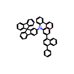 c1ccc(-c2ccccc2N(c2cccc(-c3ccc(-c4ccccc4)c4ccccc34)c2)c2ccc3c(c2)C2(c4ccccc4-c4ccccc42)c2ccccc2-3)cc1